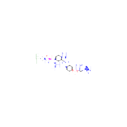 Cc1cc(Nc2ncnc3ccc(NC4=NC5(CO4)CC(F)(F)C5)cc23)ccc1Oc1cc2nncn2cn1